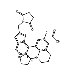 O=C1CCC(=O)N1Cc1cc2ncc(F)c(-c3cc(Cl)cc4c3N([C@H]3CCNC3)CCC4)c2s1.O=CO